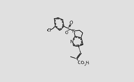 CC(=Cc1cnc2c(c1)CCN2S(=O)(=O)c1cccc(Cl)c1)C(=O)O